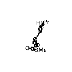 COc1ccc(Cl)cc1-c1coc2cc(OCCCCCN3CCN(CC(=O)NC(C)C)CC3)ccc12